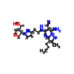 CCCc1c(C)nn2c(N)c(C#N)c(NCCc3ccn(C4COCC4CO)n3)nc12